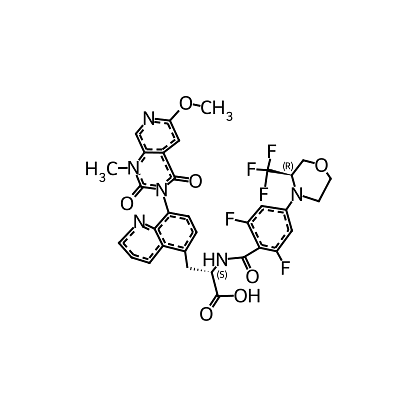 COc1cc2c(=O)n(-c3ccc(C[C@H](NC(=O)c4c(F)cc(N5CCOC[C@@H]5C(F)(F)F)cc4F)C(=O)O)c4cccnc34)c(=O)n(C)c2cn1